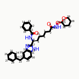 O=C(CCCCC[C@H](NC(=O)c1ccccc1)c1nc2cc(Cc3ccccc3)ccc2[nH]1)NOC1CCCCO1